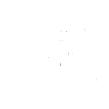 CC(C)(C)OC(=O)N[C@@H](Cc1ccc(O)cc1)C(=O)N1CCN(c2ccccc2)CC1